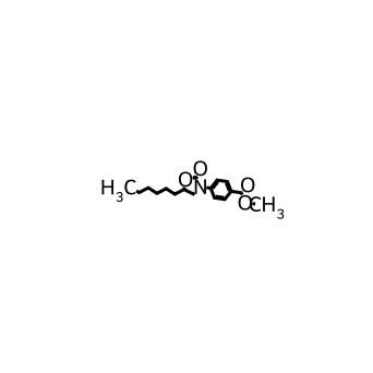 CCCCCCC1CN(c2ccc(C(=O)OC)cc2)C(=O)O1